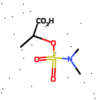 CC(OS(=O)(=O)N(C)C)C(=O)O